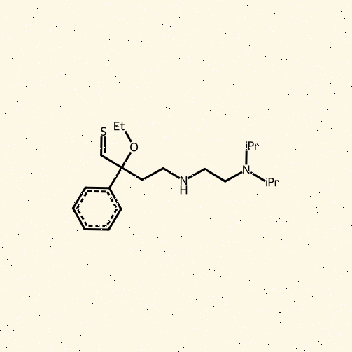 CCOC(C=S)(CCNCCN(C(C)C)C(C)C)c1ccccc1